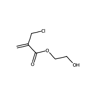 C=C(CCl)C(=O)OCCO